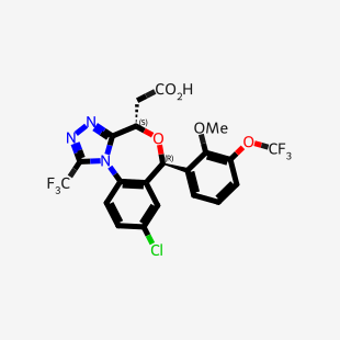 COc1c(OC(F)(F)F)cccc1[C@@H]1O[C@@H](CC(=O)O)c2nnc(C(F)(F)F)n2-c2ccc(Cl)cc21